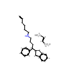 C=CCCCCNCCCC(c1ccccc1)C1Cc2ccccc2C1.O=C(O)C=CC(=O)O